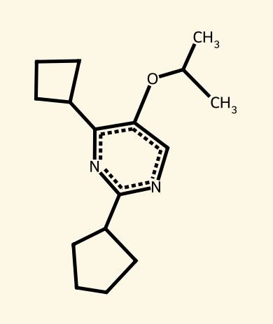 CC(C)Oc1cnc(C2CCCC2)nc1C1CCC1